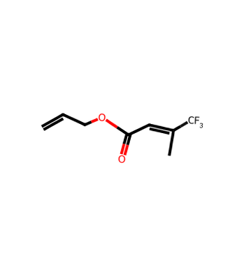 C=CCOC(=O)/C=C(\C)C(F)(F)F